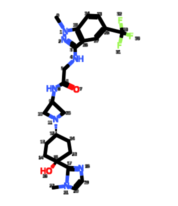 Cn1nc(NCC(=O)NC2CN([C@H]3CC[C@@](O)(c4nccn4C)CC3)C2)c2cc(C(F)(F)F)ccc21